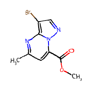 COC(=O)c1cc(C)nc2c(Br)cnn12